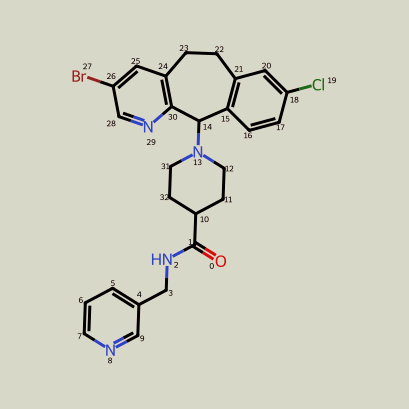 O=C(NCc1cccnc1)C1CCN(C2c3ccc(Cl)cc3CCc3cc(Br)cnc32)CC1